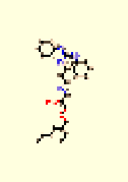 CCCCC(CC)COCC(O)CNCCCN/C(=N\C1CCCCC1)NC1CCCCC1